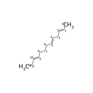 CC=CCC=CCCCC=CCC